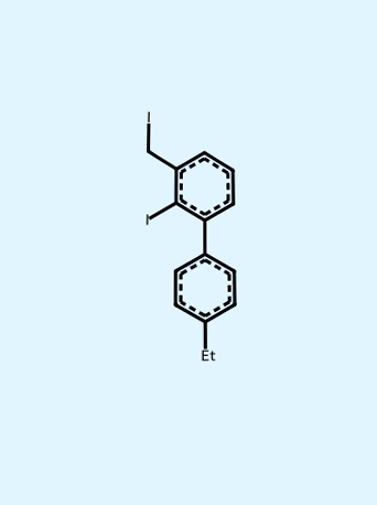 CCc1ccc(-c2cccc(CI)c2I)cc1